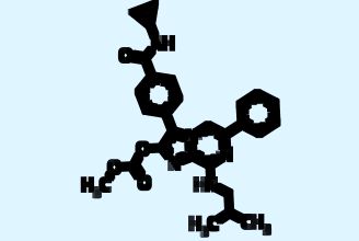 COC(=O)Oc1nc2c(NCC(C)C)nc(-c3ccccc3)cn2c1-c1ccc(C(=O)NC2CC2)cc1